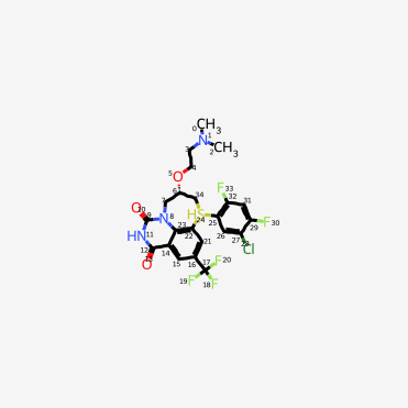 CN(C)CCO[C@H]1Cn2c(=O)[nH]c(=O)c3cc(C(F)(F)F)cc(c32)[SH](c2cc(Cl)c(F)cc2F)C1